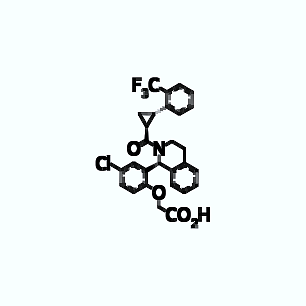 O=C(O)COc1ccc(Cl)cc1[C@@H]1c2ccccc2CCN1C(=O)[C@H]1C[C@@H]1c1ccccc1C(F)(F)F